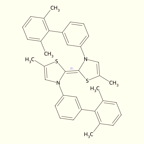 CC1=CN(c2cccc(-c3c(C)cccc3C)c2)/C(=C2\SC(C)=CN2c2cccc(-c3c(C)cccc3C)c2)S1